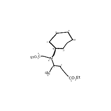 CCCCC(CC(=O)OCC)N(C(=O)OCC)C1CCCCC1